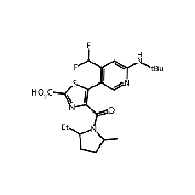 CCC1CCC(C)N1C(=O)c1nc(C(=O)O)sc1-c1cnc(NC(C)(C)C)cc1C(F)F